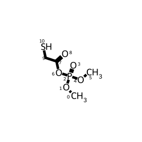 COP(=O)(OC)OC(=O)CS